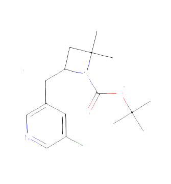 CC(C)(C)OC(=O)N1C([C@@H](O)c2cncc(F)c2)CC1(C)C